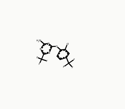 Nc1nc(Oc2ccc(C(F)(F)F)cc2Cl)nc(C(F)(F)F)n1